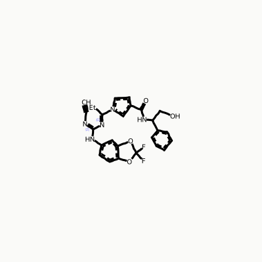 C#C/N=C(\N=C(/CC)n1ccc(C(=O)NC(CO)c2ccccc2)c1)Nc1ccc2c(c1)OC(F)(F)O2